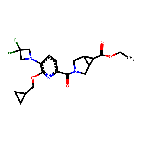 CCOC(=O)C1C2CN(C(=O)c3ccc(N4CC(F)(F)C4)c(OCC4CC4)n3)CC21